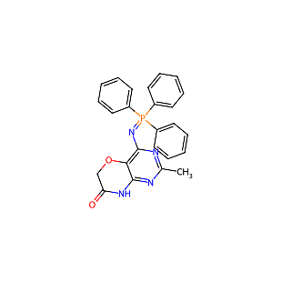 Cc1nc(N=P(c2ccccc2)(c2ccccc2)c2ccccc2)c2c(n1)NC(=O)CO2